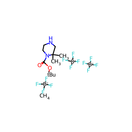 C.CC(C)(C)OC(=O)N1CCNCC1(C)C.F[B-](F)(F)F.F[B-](F)(F)F.F[B-](F)(F)F